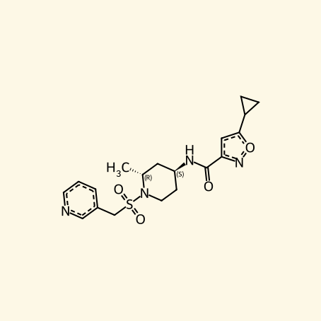 C[C@@H]1C[C@@H](NC(=O)c2cc(C3CC3)on2)CCN1S(=O)(=O)Cc1cccnc1